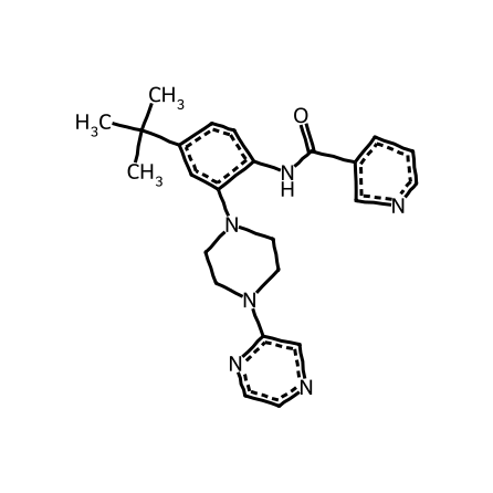 CC(C)(C)c1ccc(NC(=O)c2cccnc2)c(N2CCN(c3cnccn3)CC2)c1